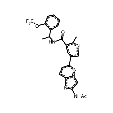 CC(=O)Nc1cn2nc(-c3cnc(C)c(C(=O)NC(C)c4ccccc4OC(F)(F)F)c3)ccc2n1